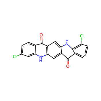 O=c1c2ccc(Cl)cc2[nH]c2cc3c(=O)c4cccc(Cl)c4[nH]c3cc12